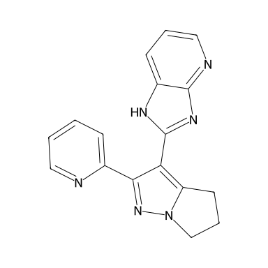 c1ccc(-c2nn3c(c2-c2nc4ncccc4[nH]2)CCC3)nc1